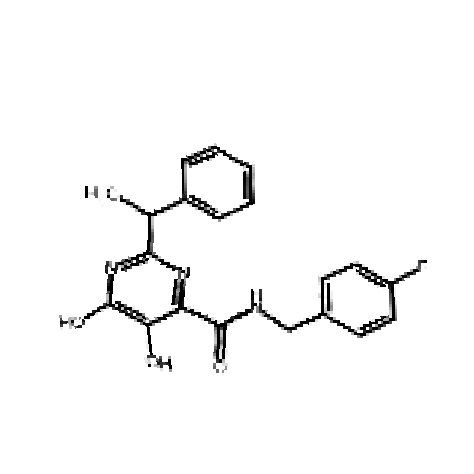 CC(c1ccccc1)c1nc(O)c(O)c(C(=O)NCc2ccc(F)cc2)n1